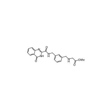 COC(=O)CNCc1cccc(CNC(=O)c2nc3ccccc3c(=O)[nH]2)c1